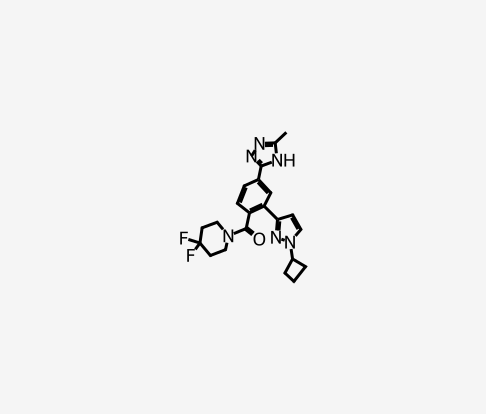 Cc1nnc(-c2ccc(C(=O)N3CCC(F)(F)CC3)c(-c3ccn(C4CCC4)n3)c2)[nH]1